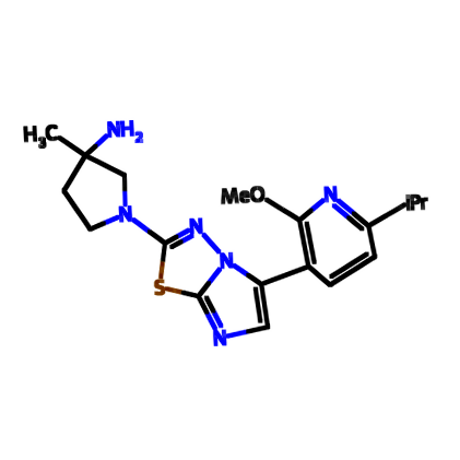 COc1nc(C(C)C)ccc1-c1cnc2sc(N3CCC(C)(N)C3)nn12